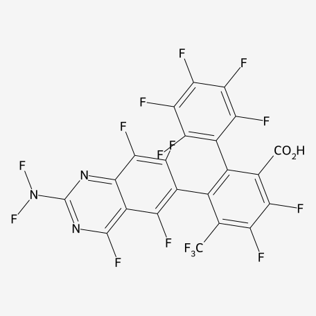 O=C(O)c1c(F)c(F)c(C(F)(F)F)c(-c2c(F)c(F)c3nc(N(F)F)nc(F)c3c2F)c1-c1c(F)c(F)c(F)c(F)c1F